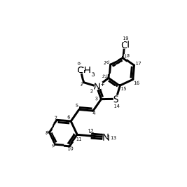 CC[n+]1c(C=Cc2ccccc2C#N)sc2ccc(Cl)cc21